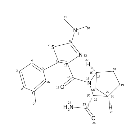 Cc1cccc(-c2sc(N(C)C)nc2C(=O)N2[C@H]3CC[C@H](C3)[C@@H]2C(N)=O)c1